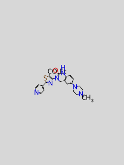 CCOC(=O)c1sc(-c2ccncc2)nc1N1Cc2cc(N3CCN(C)CC3)ccc2NC1=O